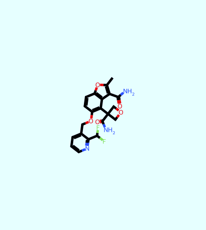 Cc1oc2ccc(OCc3cccnc3C(F)F)c(C3(C(N)=O)COC3)c2c1C(N)=O